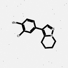 CC(C)(C)c1ccc(-c2cnn3c2CCCC3)cc1Cl